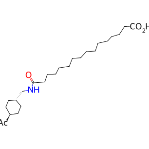 CC(=O)[C@H]1CC[C@H](CNC(=O)CCCCCCCCCCCCCCC(=O)O)CC1